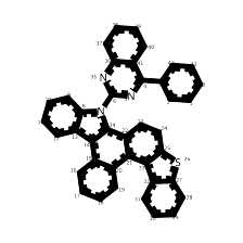 c1ccc(-c2nc(-n3c4ccccc4c4c5ccccc5c5c(ccc6sc7ccccc7c65)c43)nc3ccccc23)cc1